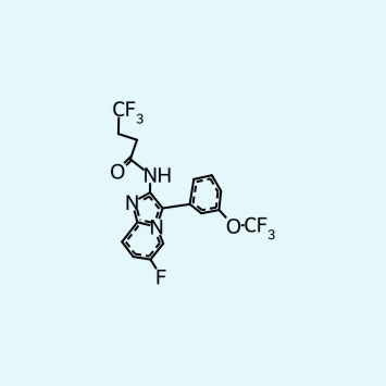 O=C(CCC(F)(F)F)Nc1nc2ccc(F)cn2c1-c1cccc(OC(F)(F)F)c1